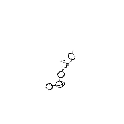 CC1CCN(C[C@H](O)COc2ccc(C34CC5CC3CC(c3ccccc3)(C5)C4)cc2)CC1